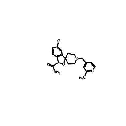 Cc1cc(CN2CCC3(CC2)OC(C(N)=O)c2ccc(Cl)cc23)ccn1